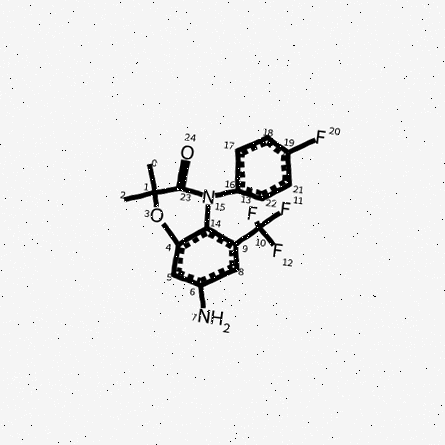 CC1(C)Oc2cc(N)cc(C(F)(F)F)c2N(c2ccc(F)cc2)C1=O